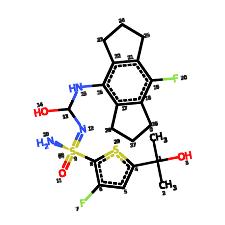 CC(C)(O)c1cc(F)c([S@](N)(=O)=NC(O)Nc2c3c(c(F)c4c2CCC4)CCC3)s1